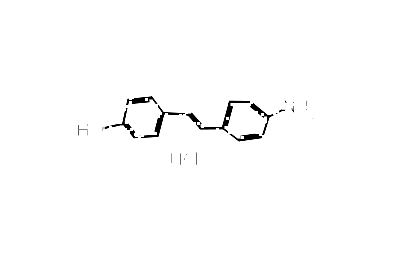 Cl.Nc1ccc(C=Cc2ccc(O)cc2)cc1